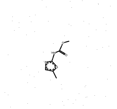 COC(=O)Nc1ncc(C)s1